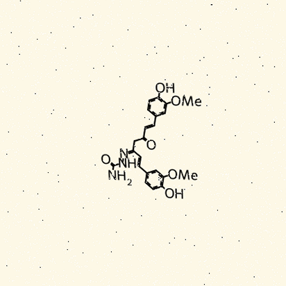 COc1cc(/C=C/C(=O)CC(/C=C/c2ccc(O)c(OC)c2)=N/NC(N)=O)ccc1O